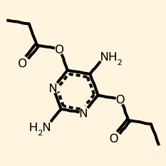 CCC(=O)Oc1nc(N)nc(OC(=O)CC)c1N